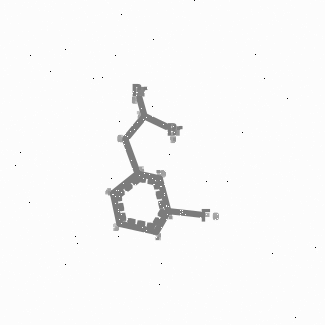 Fc1cccc(CC(Br)Br)c1